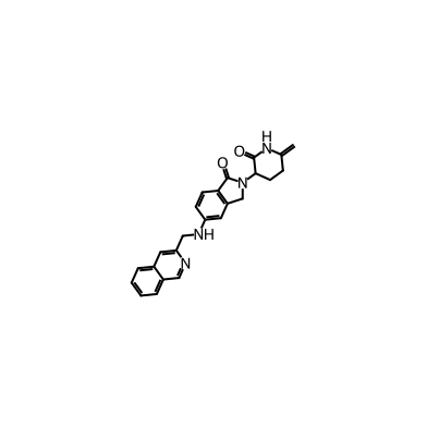 C=C1CCC(N2Cc3cc(NCc4cc5ccccc5cn4)ccc3C2=O)C(=O)N1